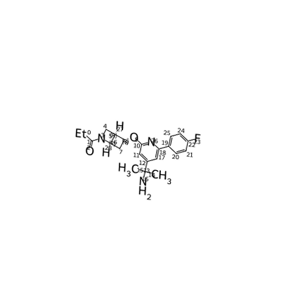 CCC(=O)N1C[C@@H]2[C@H]1C[C@H]2Oc1cc(C(C)(C)N)cc(-c2ccc(F)cc2)n1